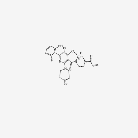 C=CC(=O)N1CCN2C(=O)c3c(N4CCN(C(C)C)CC4)nc(-c4c(O)cccc4F)c(Cl)c3OC[C@H]2C1